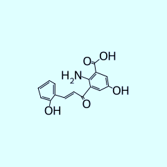 Nc1c(C(=O)O)cc(O)cc1C(=O)C=Cc1ccccc1O